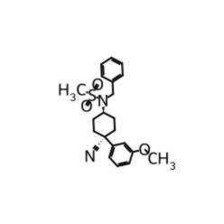 COc1cccc([C@]2(C#N)CC[C@H](N(Cc3ccccc3)S(C)(=O)=O)CC2)c1